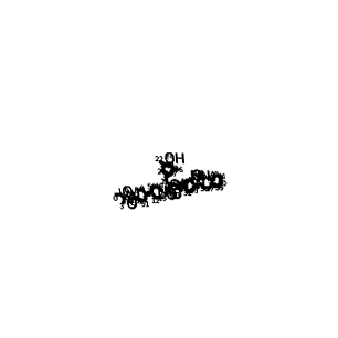 CCC(C)S(=O)(=O)N1CCC(C2CCN(C(=O)[C@@H](Cc3cc(C)c(O)c(C)c3)OC(=O)N3CCC(N4CCc5ccccc5NC4=O)CC3)CC2)CC1